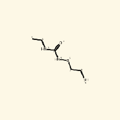 CCNC(=O)NSCCS